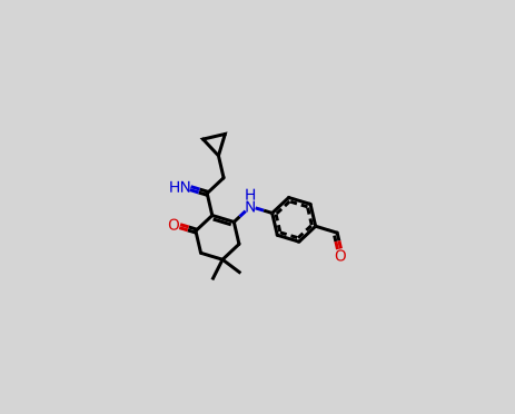 CC1(C)CC(=O)C(C(=N)CC2CC2)=C(Nc2ccc(C=O)cc2)C1